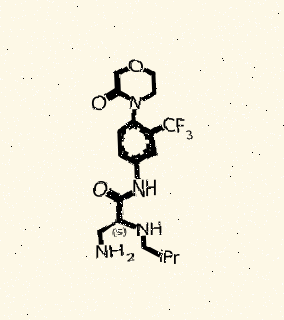 CC(C)CN[C@@H](CN)C(=O)Nc1ccc(N2CCOCC2=O)c(C(F)(F)F)c1